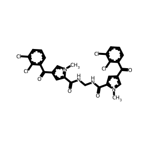 Cn1cc(C(=O)c2cccc(Cl)c2Cl)cc1C(=O)NCNC(=O)c1cc(C(=O)c2cccc(Cl)c2Cl)cn1C